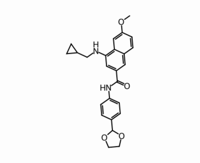 COc1ccc2cc(C(=O)Nc3ccc(C4OCCO4)cc3)cc(NCC3CC3)c2c1